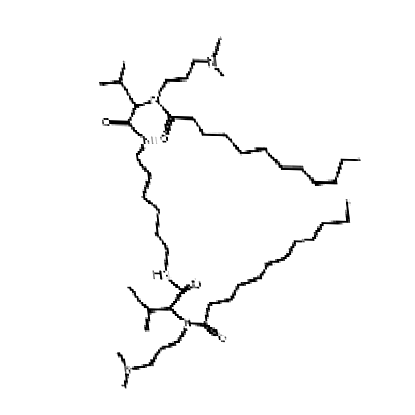 CCCCCCCCCCCC(=O)N(CCCN(C)C)C(C(=O)NCCCCCCNC(=O)C(C(C)C)N(CCCN(C)C)C(=O)CCCCCCCCCCC)C(C)C